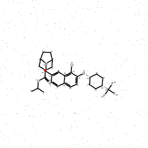 CC(C)OC(=O)C1CC2CCC(C1)N2Cc1ccc2ccc(O[C@H]3CC[C@@H](C(F)(F)F)CC3)c(Cl)c2c1